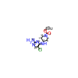 CC(C)(C)OC(=O)N1CCC(Nc2nc(N)ncc2Cl)CC1